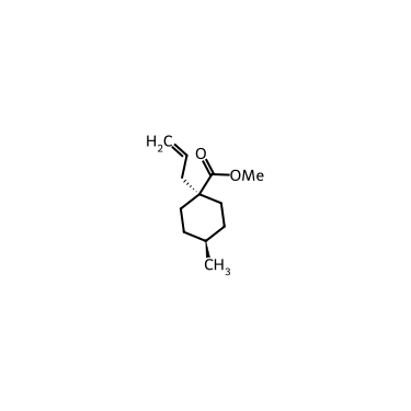 C=CC[C@]1(C(=O)OC)CC[C@@H](C)CC1